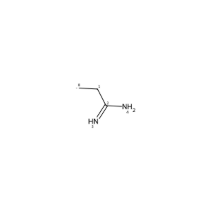 [CH2]CC(=N)N